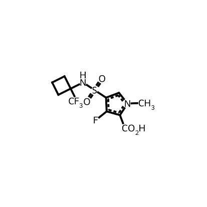 Cn1cc(S(=O)(=O)NC2(C(F)(F)F)CCC2)c(F)c1C(=O)O